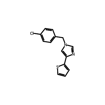 Clc1ccc(Cn2cnc(-c3cccs3)c2)cc1